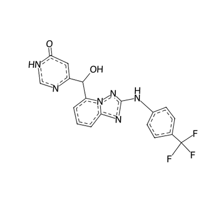 O=c1cc(C(O)c2cccc3nc(Nc4ccc(C(F)(F)F)cc4)nn23)nc[nH]1